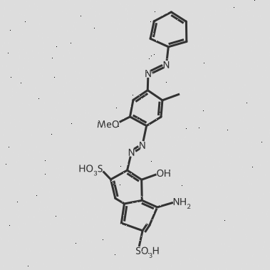 COc1cc(/N=N/c2ccccc2)c(C)cc1/N=N/c1c(S(=O)(=O)O)cc2cc(S(=O)(=O)O)cc(N)c2c1O